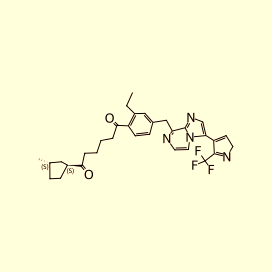 CCc1cc(Cc2nccn3c(C4=CCN=C4C(F)(F)F)cnc23)ccc1C(=O)CCCCC(=O)[C@H]1CC[C@H](C)C1